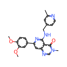 COc1ccc(-c2cc3ncn(C)c(=O)c3c(NCc3ccnc(C)c3)n2)cc1OC